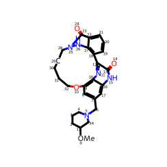 COC1CCCN(Cc2cc3c4nc(c(=O)[nH]c4c2)-c2cccc4c(=O)n([nH]c24)CCCCCO3)C1